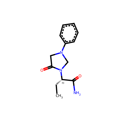 CC[C@@H](C(N)=O)N1CN(c2ccccc2)CC1=O